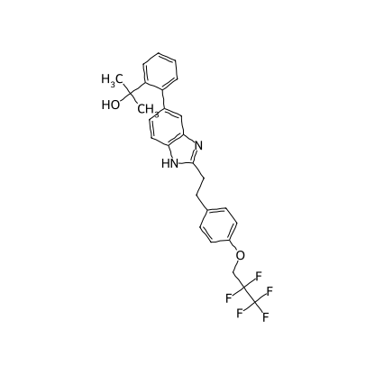 CC(C)(O)c1ccccc1-c1ccc2[nH]c(CCc3ccc(OCC(F)(F)C(F)(F)F)cc3)nc2c1